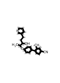 Cc1cc(C#N)ccc1-c1ccc(OC(C)C(O)CCc2cccnc2)cc1